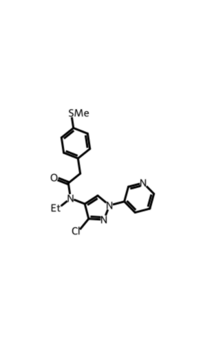 CCN(C(=O)Cc1ccc(SC)cc1)c1cn(-c2cccnc2)nc1Cl